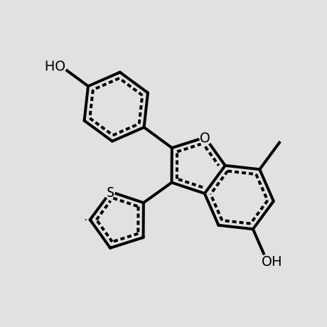 Cc1cc(O)cc2c(-c3cc[c]s3)c(-c3ccc(O)cc3)oc12